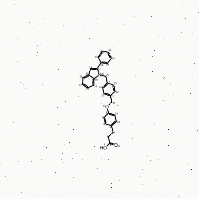 O=C(O)CCc1ccc(OCc2ccc(Cn3c(-c4ccccc4)cc4ccccc43)cc2)cc1